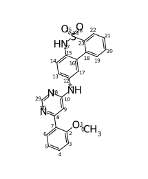 COc1ccccc1-c1cc(Nc2ccc3c(c2)-c2ccccc2S(=O)(=O)N3)ncn1